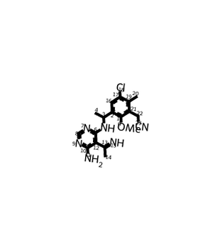 COc1c(C(C)Nc2ncnc(N)c2C(C)=N)cc(Cl)c(C)c1CC#N